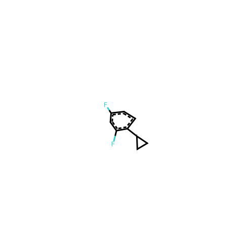 Fc1ccc([C]2CC2)c(F)c1